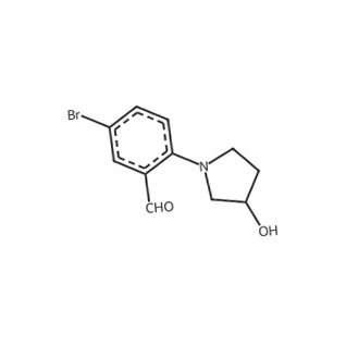 O=Cc1cc(Br)ccc1N1CCC(O)C1